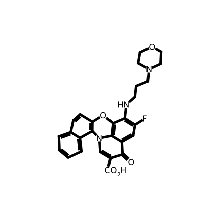 O=C(O)c1cn2c3c(c(NCCCN4CCOCC4)c(F)cc3c1=O)Oc1ccc3ccccc3c1-2